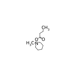 CCCC(=O)O[N+]1(C)CCCCC1